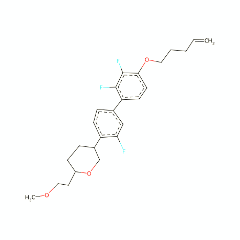 C=CCCCOc1ccc(-c2ccc(C3CCC(CCOC)OC3)c(F)c2)c(F)c1F